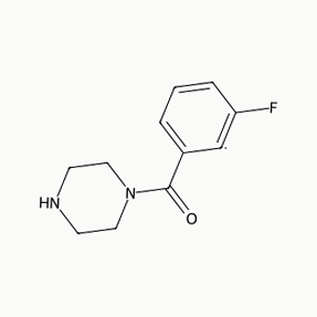 O=C(c1[c]c(F)ccc1)N1CCNCC1